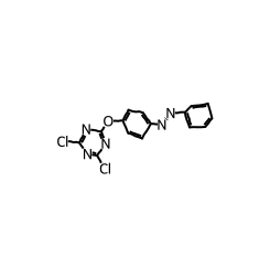 Clc1nc(Cl)nc(Oc2ccc(/N=N/c3ccccc3)cc2)n1